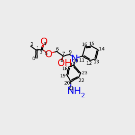 C=C(C)C(=O)OCC(O)CN(c1ccccc1)c1ccc(N)cc1